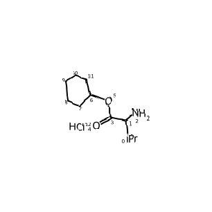 CC(C)C(N)C(=O)OC1CCCCC1.Cl